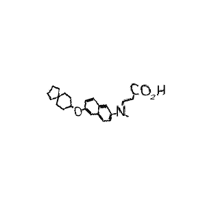 CN(CCC(=O)O)c1ccc2cc(OC3CCC4(CCCC4)CC3)ccc2c1